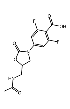 CC(=O)NCC1CN(c2cc(F)c(C(=O)O)c(F)c2)C(=O)O1